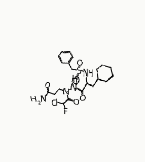 NC(=O)CCN(NC(=O)C(CC1CCCCC1)NS(=O)(=O)Cc1ccccc1)C(=O)C(F)Cl